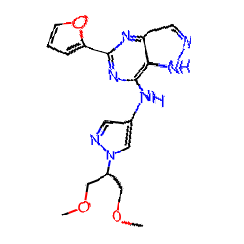 COCC(COC)n1cc(Nc2nc(-c3ccco3)nc3cn[nH]c23)cn1